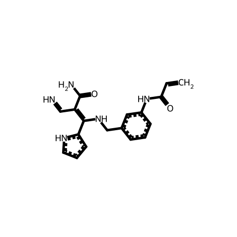 C=CC(=O)Nc1cccc(CN/C(=C(/C=N)C(N)=O)c2ccc[nH]2)c1